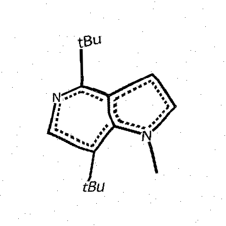 Cn1ccc2c(C(C)(C)C)ncc(C(C)(C)C)c21